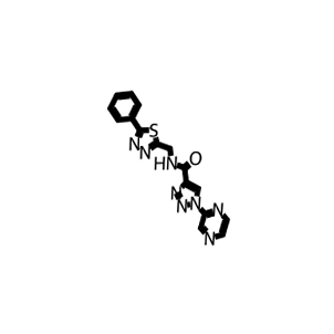 O=C(NCc1nnc(-c2ccccc2)s1)c1cn(-c2cnccn2)nn1